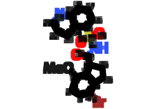 COc1ccc(Br)c2c1C(C(=O)NS(=O)(=O)c1cccc3ncccc13)CC2